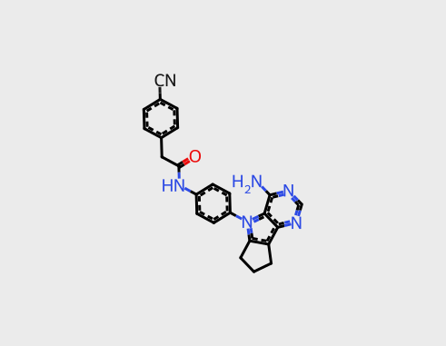 N#Cc1ccc(CC(=O)Nc2ccc(-n3c4c(c5ncnc(N)c53)CCC4)cc2)cc1